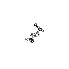 CCC(CC)(c1ccc(-c2cc(-c3ccccc3)nc(-c3ccc(-c4ccccn4)cc3)n2)cc1)c1ccc(-c2cc(-c3ccccc3)nc(-c3ccccn3)n2)cc1